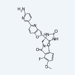 COc1ccc2c(c1F)C(=O)N(C[C@@]1(c3cc4nc(-c5ccc(N)nc5)ccc4o3)NC(=O)NC1=O)C2